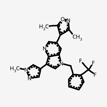 Cc1noc(C)c1-c1cnc2c(-c3cnn(C)c3)cn(Cc3ccccc3C(F)(F)F)c2c1